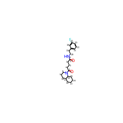 O=C(CCCC(=O)N1CCCC2CCCCC21)NCCc1cccc(F)c1